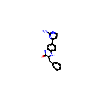 NC(=O)C(Cc1ccccc1)Nc1ccc(-c2ccnc(N)n2)cc1